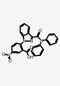 O=C(O)c1cc([N+](=O)[O-])ccc1-n1nc(C(=O)N(c2ccccc2)c2ccccc2)c2ccccc21